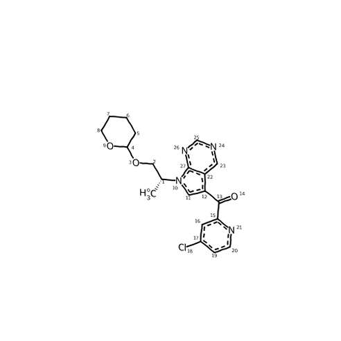 C[C@H](COC1CCCCO1)n1cc(C(=O)c2cc(Cl)ccn2)c2cncnc21